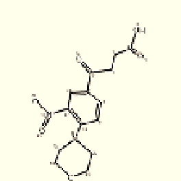 O=C(O)CCC(=O)c1ccc(N2CCOCC2)c([N+](=O)[O-])c1